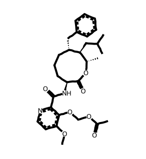 COc1ccnc(C(=O)N[C@H]2CCC[C@H](Cc3ccccc3)[C@@H](CC(C)C)[C@H](C)OC2=O)c1OCOC(C)=O